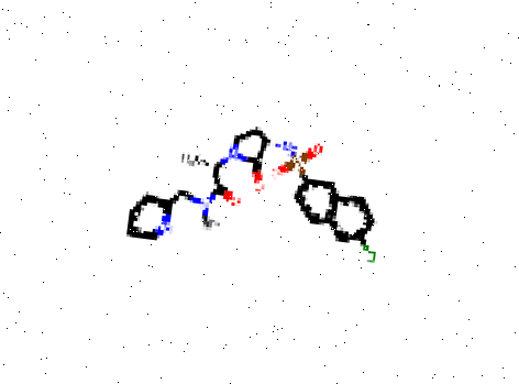 CCCN(Cc1ccccn1)C(=O)[C@H](C)N1CC[C@H](NS(=O)(=O)c2ccc3cc(Cl)ccc3c2)C1=O